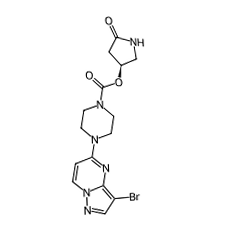 O=C1C[C@H](OC(=O)N2CCN(c3ccn4ncc(Br)c4n3)CC2)CN1